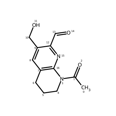 CC(=O)N1CCCc2cc(CO)c(C=O)nc21